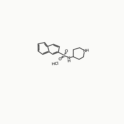 Cl.O=S(=O)(NC1CCNCC1)c1ccc2ccccc2c1